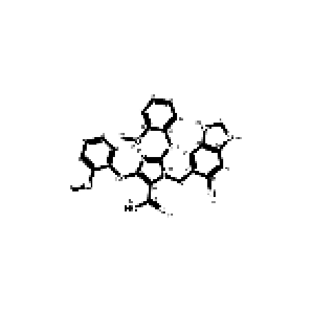 COc1ccccc1Sc1nc(Sc2ccccc2OC)n(Cc2cc3c(cc2Cl)OCO3)c1C(=O)O